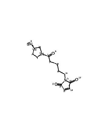 CC(C)(C)[C@@H]1CCN(C(=O)CCCCN2C(=O)C=CC2=O)C1